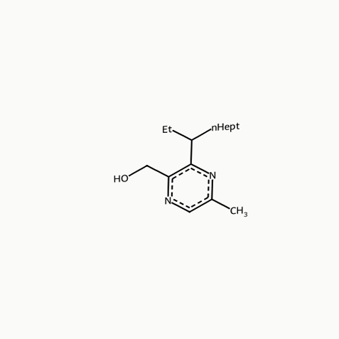 CCCCCCCC(CC)c1nc(C)cnc1CO